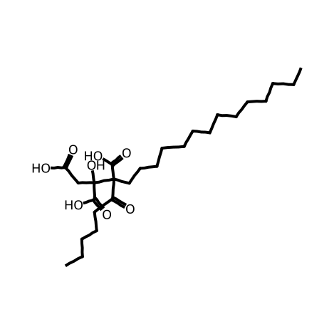 CCCCCCCCCCCCCCC(C(=O)O)(C(=O)CCCCC)C(O)(CC(=O)O)C(=O)O